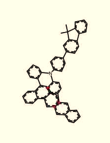 CC1(C)c2ccccc2-c2ccc(-c3ccc(N(c4ccc(-c5ccc6ccccc6c5)cc4)c4ccccc4-c4cc5ccccc5c5ccccc45)cc3)cc21